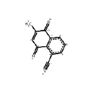 CC1=CC(=O)c2c(C#N)cccc2C1=O